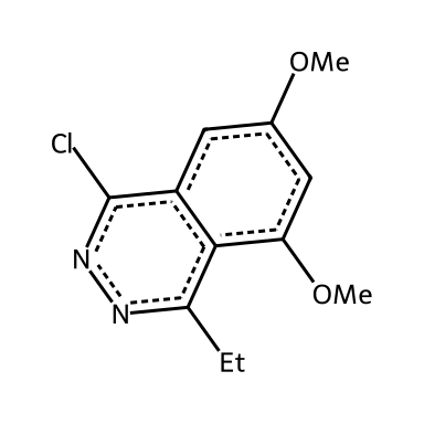 CCc1nnc(Cl)c2cc(OC)cc(OC)c12